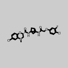 CN1C[C@@H](C(=O)NC23CC(C2)C(NC(=O)COc2ccc(Cl)c(F)c2)C3)Oc2ccc(Cl)cc21